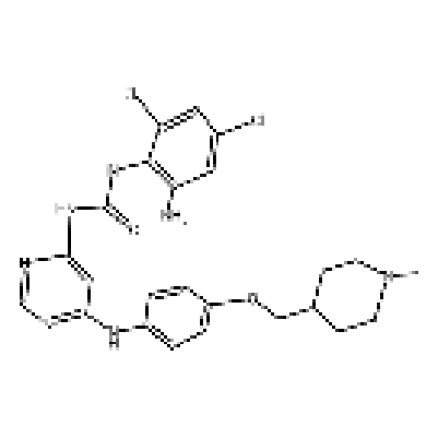 CN1CCC(COc2ccc(Nc3cc(NC(=O)Nc4c(N)cc(Cl)cc4Cl)ncn3)cc2)CC1